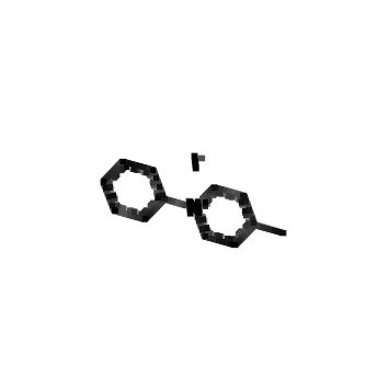 Cc1cc[n+](-c2ccccc2)cc1.[I-]